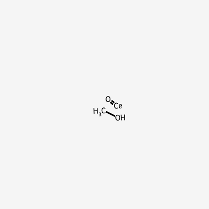 CO.[O]=[Ce]